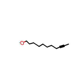 CC#CCCCCCCCC[O]